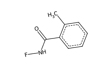 Cc1ccccc1C(=O)NF